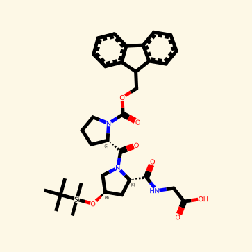 CC(C)(C)[Si](C)(C)O[C@@H]1C[C@@H](C(=O)NCC(=O)O)N(C(=O)[C@@H]2CCCN2C(=O)OCC2c3ccccc3-c3ccccc32)C1